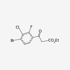 CCOC(=O)CC(=O)c1ccc(Br)c(Cl)c1F